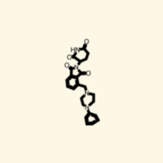 O=C1CCC(N2C(=O)c3cccc(CN4CCN(c5ccccc5)CC4)c3C2=O)C(=O)N1